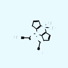 C#CC(=O)[O][Ti]1([O]C(=O)C#C)[C]2=C(C=CC2)[Si](C)(C)C2=[C]1CC=C2